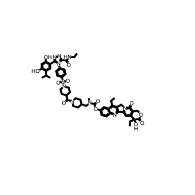 CCNC(=O)c1nnc(-c2cc(C(C)C)c(O)cc2O)n1-c1ccc(S(=O)(=O)N2CCC(C(=O)N3CCC(CN(C)C(=O)Oc4ccc5nc6c(c(CC)c5c4)Cn4c-6cc5c(c4=O)COC(=O)C5(O)CC)CC3)CC2)cc1